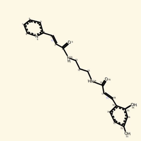 O=C(/C=C/c1ccccn1)NCCCNC(=O)/C=C/c1ccc(O)cc1O